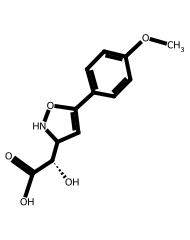 COc1ccc(C2=CC([C@H](O)C(=O)O)NO2)cc1